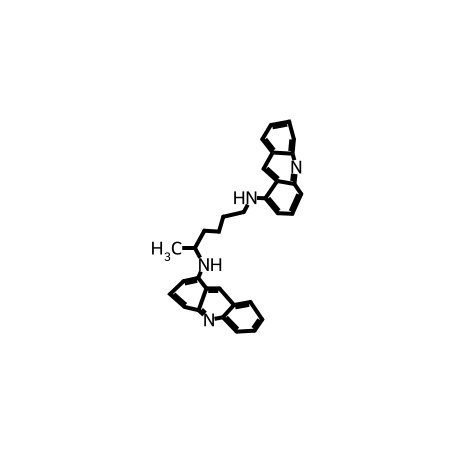 CC(CCCCNc1cccc2nc3ccccc3cc12)Nc1cccc2nc3ccccc3cc12